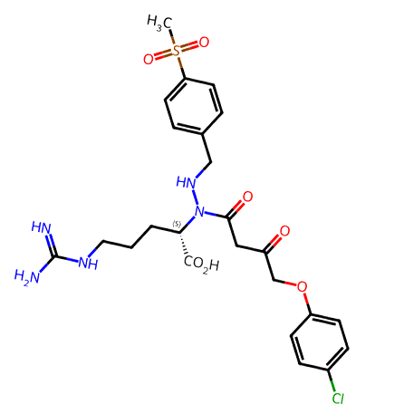 CS(=O)(=O)c1ccc(CNN(C(=O)CC(=O)COc2ccc(Cl)cc2)[C@@H](CCCNC(=N)N)C(=O)O)cc1